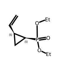 C=C[C@@H]1C[C@@H]1P(=O)(OCC)OCC